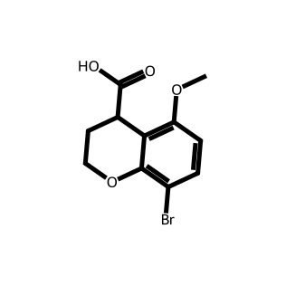 COc1ccc(Br)c2c1C(C(=O)O)CCO2